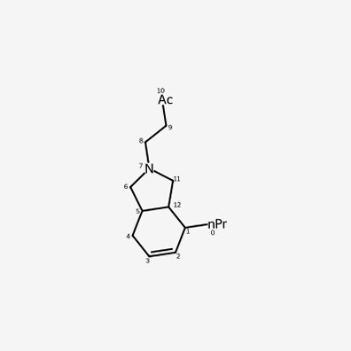 CCCC1C=CCC2CN(CCC(C)=O)CC12